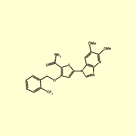 COc1cc2c(ncn2-c2cc(OCc3ccccc3C(F)(F)F)c(C(N)=O)s2)nc1OC